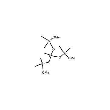 CO[Si](C)(C)O[Si](C)(O[Si](C)(C)OC)O[Si](C)(C)OC